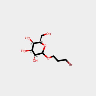 OC[C@H]1OC(OCCCBr)[C@H](O)[C@@H](O)[C@H]1O